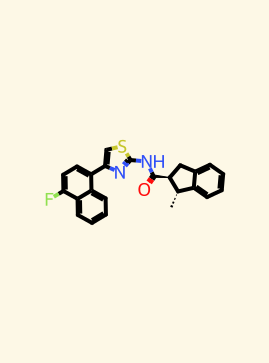 C[C@H]1c2ccccc2C[C@@H]1C(=O)Nc1nc(-c2ccc(F)c3ccccc23)cs1